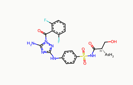 Nc1nc(Nc2ccc(S(=O)(=O)NC(=O)[C@@H]([AsH2])CO)cc2)nn1C(=O)c1c(F)cccc1F